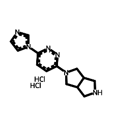 Cl.Cl.c1cn(-c2ccc(N3CC4CNCC4C3)nn2)cn1